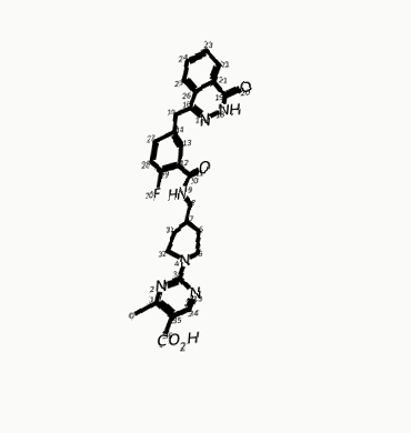 Cc1nc(N2CCC(CNC(=O)c3cc(Cc4n[nH]c(=O)c5ccccc45)ccc3F)CC2)ncc1C(=O)O